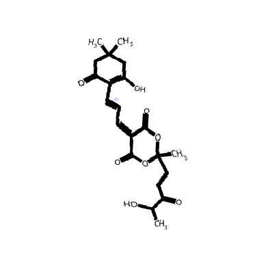 CC(O)C(=O)CCC1(C)OC(=O)C(=C/C=C/C2=C(O)CC(C)(C)CC2=O)C(=O)O1